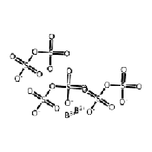 O=S(=O)([O-])OS(=O)(=O)[O-].O=S(=O)([O-])OS(=O)(=O)[O-].O=S(=O)([O-])OS(=O)(=O)[O-].[B+3].[B+3]